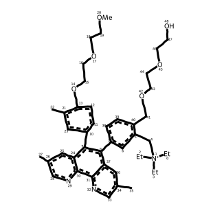 CC[N+](CC)(CC)Cc1cc(-c2c(-c3ccc(OCCOCCOC)c(C)c3)c3cc(C)cnc3c3ncc(C)cc23)ccc1COCCOCCO